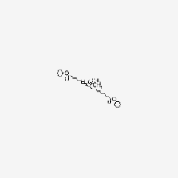 CC(C)(C)C(CCCCCCCCC(=O)OC1CCCCC1)CCCCCCCCC(=O)OC1CCCCC1